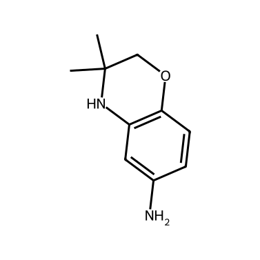 CC1(C)COc2ccc(N)cc2N1